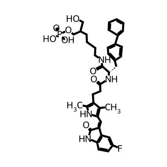 Cc1[nH]c(/C=C2\C(=O)Nc3ccc(F)cc32)c(C)c1CCC(=O)N[C@@H](Cc1ccc(-c2ccccc2)cc1)C(=O)NCCCCC(CO)COP(=O)(O)O